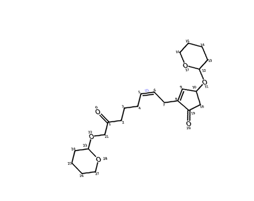 O=C(CCC/C=C\CC1=CC(OC2CCCCO2)CC1=O)COC1CCCCO1